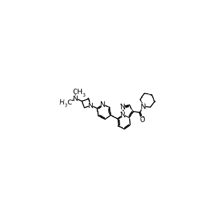 CN(C)C1CN(c2ccc(-c3cccc4c(C(=O)N5CCCCC5)cnn34)cn2)C1